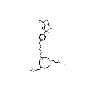 NCCN1CCCN(CC(=O)O)CCN(CCCCCc2ccc(C(=O)ON3C(=O)CCC3=O)cc2)CC1